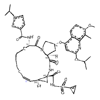 COc1ccc2c(O[C@@H]3C[C@H]4C(=O)N[C@]5(C(=O)NS(=O)(=O)C6=CC6)C[C@H]5/C=C\CCCCC[C@H](NC(=O)c5ccn(C(C)C)n5)C(=O)N4C3)cc(OC(C)C)nc2c1C